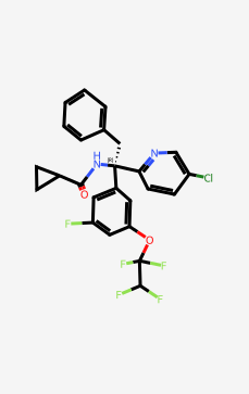 O=C(N[C@](Cc1ccccc1)(c1cc(F)cc(OC(F)(F)C(F)F)c1)c1ccc(Cl)cn1)C1CC1